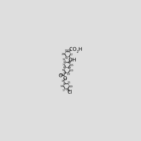 O=C(O)c1ccc(Cc2cc3cc(C(=O)OCc4ccc(Cl)cc4)ccc3cc2O)cc1